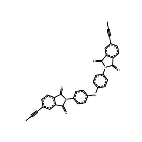 CC#Cc1ccc2c(c1)C(=O)N(c1ccc(Oc3ccc(N4C(=O)c5ccc(C#CC)cc5C4=O)cc3)cc1)C2=O